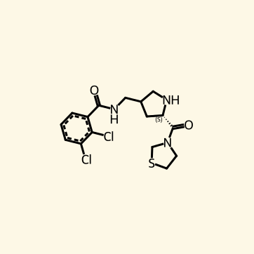 O=C(NCC1CN[C@H](C(=O)N2CCSC2)C1)c1cccc(Cl)c1Cl